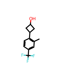 Cc1cc(C(F)(F)F)ccc1C1CC(O)C1